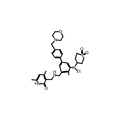 CCN(c1cc(-c2ccc(CN3CCOCC3)cc2)cc(CNCc2c(C)cc(C)[nH]c2=O)c1C)C1CCS(=O)(=O)CC1